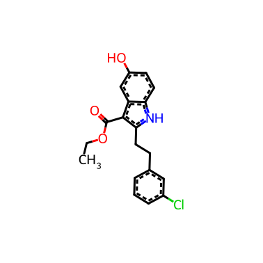 CCOC(=O)c1c(CCc2cccc(Cl)c2)[nH]c2ccc(O)cc12